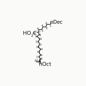 CCCCCCCCCCCCCCCCC(CCCCCCCCCCC=C(C)CCCCCCCC)C(=O)O